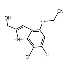 N#CCOc1cc(Cl)c(Cl)c2[nH]c(CO)cc12